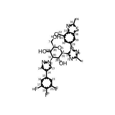 Cc1nc([C@@H]2O[C@H](CO)[C@H](O)[C@H](n3cc(-c4cc(F)c(F)c(F)c4)cn3)[C@H]2O)n(-c2cc(Cl)c3nc(C)sc3c2)n1